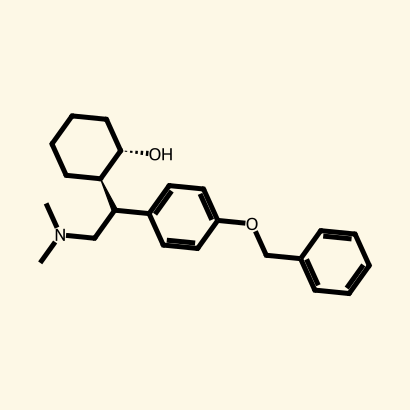 CN(C)CC(c1ccc(OCc2ccccc2)cc1)[C@H]1CCCC[C@@H]1O